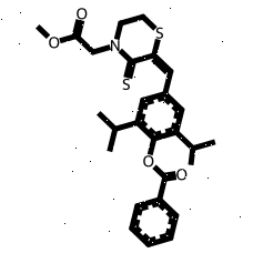 COC(=O)CN1CCSC(=Cc2cc(C(C)C)c(OC(=O)c3ccccc3)c(C(C)C)c2)C1=S